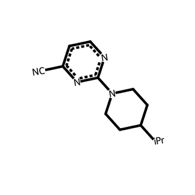 CC(C)C1CCN(c2nccc(C#N)n2)CC1